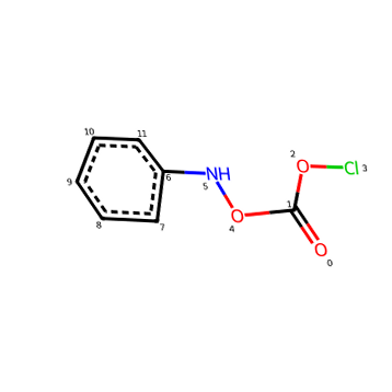 O=C(OCl)ONc1ccccc1